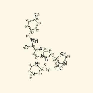 CN1CCN(c2cc(C(=O)NCc3ccc(C#N)cc3)nc3cc(-c4scnc4C(F)(F)F)nn23)[C@H](CF)C1